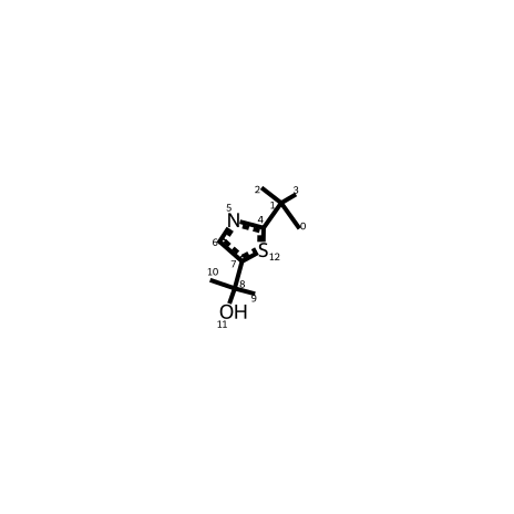 CC(C)(C)c1ncc(C(C)(C)O)s1